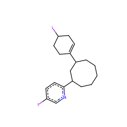 Ic1ccc(C2CCCCCC(C3=CCC(I)CC3)C2)nc1